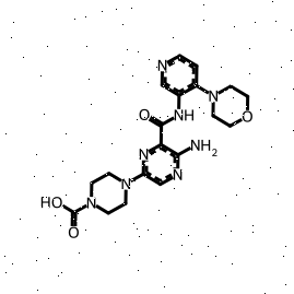 Nc1ncc(N2CCN(C(=O)O)CC2)nc1C(=O)Nc1cnccc1N1CCOCC1